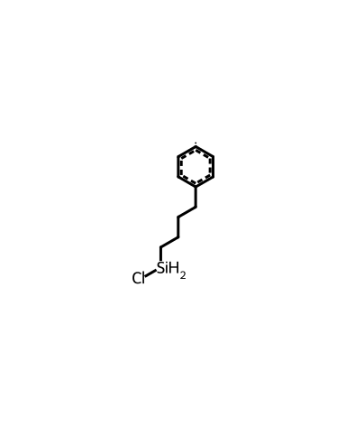 Cl[SiH2]CCCCc1cc[c]cc1